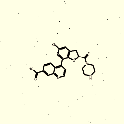 O=C(O)c1ccc2c(-c3cc(Cl)cc4c3O[C@H](C(=O)N3CCNCC3)C4)ccnc2c1